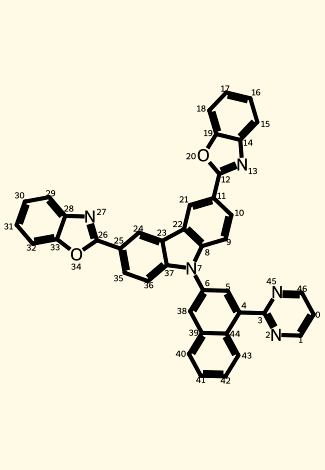 c1cnc(-c2cc(-n3c4ccc(-c5nc6ccccc6o5)cc4c4cc(-c5nc6ccccc6o5)ccc43)cc3ccccc23)nc1